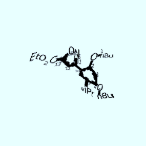 CCCCOc1cc(OCCCC)c(C(C)C)cc1-c1cc(C(=O)OCC)on1